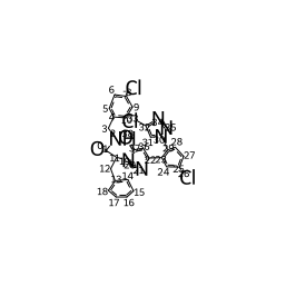 O=C(NCc1ccc(Cl)cc1)C(Cc1ccccc1)n1cnc(-c2cc(Cl)ccc2-n2cc(Cl)nn2)cc1=O